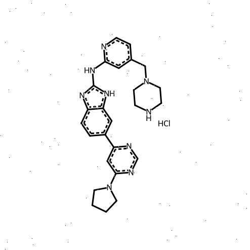 Cl.c1cc(CN2CCNCC2)cc(Nc2nc3ccc(-c4cc(N5CCCC5)ncn4)cc3[nH]2)n1